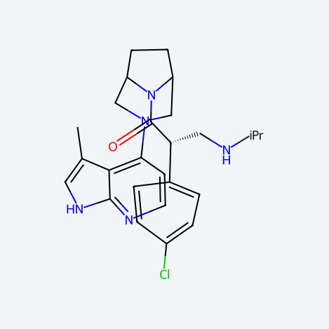 Cc1c[nH]c2nccc(N3CC4CCC(C3)N4C(=O)[C@H](CNC(C)C)c3ccc(Cl)cc3)c12